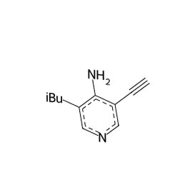 C#Cc1cncc(C(C)CC)c1N